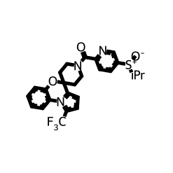 CC(C)[S+]([O-])c1ccc(C(=O)N2CCC3(CC2)Oc2ccccc2-n2c(C(F)(F)F)ccc23)nc1